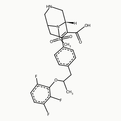 CC(Cc1ccc(C2=C(C(=O)O)[C@H]3CNCC(C2)N3S(C)(=O)=O)cc1)Oc1c(F)ccc(F)c1F